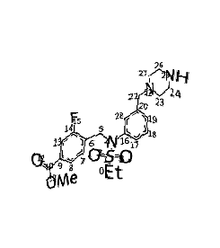 CCS(=O)(=O)N(Cc1ccc(C(=O)OC)cc1F)c1cccc(CN2CCNCC2)c1